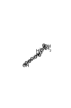 N[C@@H](Cc1ccc(OCC(=O)NCCOCCOCCOCCOCCO)cc1)C(=O)O